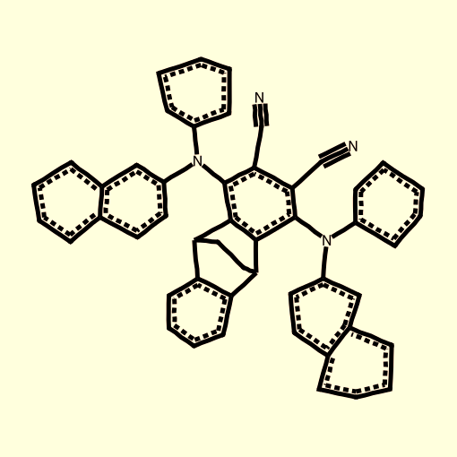 N#Cc1c(C#N)c(N(c2ccccc2)c2ccc3ccccc3c2)c2c(c1N(c1ccccc1)c1ccc3ccccc3c1)C1CCC2c2ccccc21